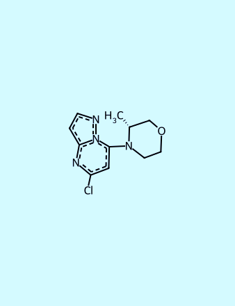 C[C@@H]1COCCN1c1cc(Cl)nc2ccnn12